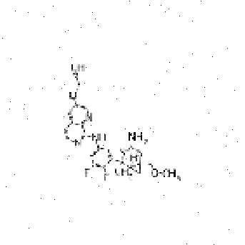 C#CCOc1cnc2c(Nc3cc(F)c(F)c([C@@]4(C)N=C(N)S[C@@]5(COC)C[C@H]54)c3)nccc2c1